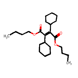 CCCCOC(=O)C(=C(C(=O)OCCCC)C1CCCCC1)C1CCCCC1